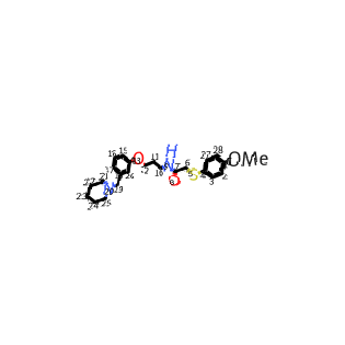 COc1ccc(SCC(=O)NCCCOc2cccc(CN3CCCCC3)c2)cc1